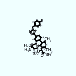 Cc1nc(C)c(C(OC(C)(C)C)C(=O)OC(C)C)c(N2CCC(C)(C)CC2)c1-c1ccc(-c2nnn(Cc3ccc(F)cc3)n2)cc1